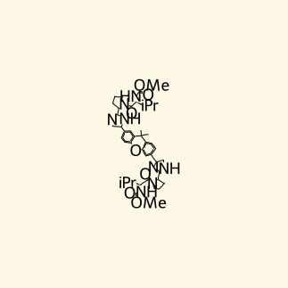 COC(=O)N[C@H](C(=O)N1CCCC1C1=NC(c2ccc3c(c2)Oc2ccc(C4CN=C(C5CCCN5C(=O)[C@@H](NC(=O)OC)C(C)C)N4)cc2C3(C)C)CN1)C(C)C